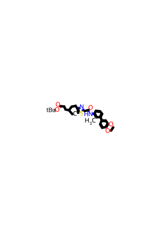 Cc1c(NC(=O)c2nc3c(s2)CCC(CCC(=O)OC(C)(C)C)CC3)cccc1-c1ccc2c(c1)OCCO2